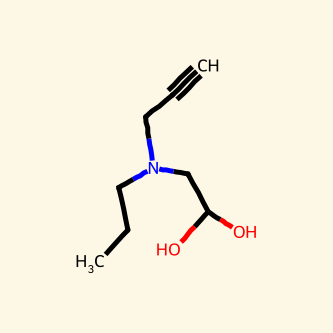 C#CCN(CCC)CC(O)O